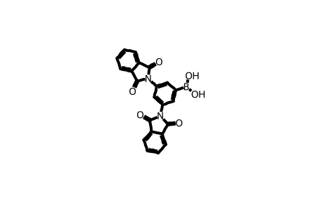 O=C1c2ccccc2C(=O)N1c1cc(B(O)O)cc(N2C(=O)c3ccccc3C2=O)c1